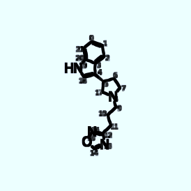 c1ccc2c([C@H]3CCN(CCCc4ncon4)C3)c[nH]c2c1